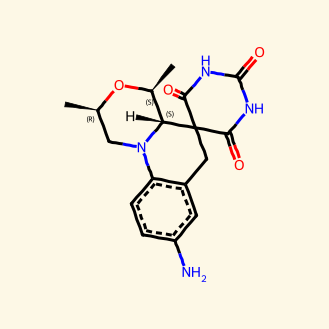 C[C@@H]1CN2c3ccc(N)cc3CC3(C(=O)NC(=O)NC3=O)[C@H]2[C@H](C)O1